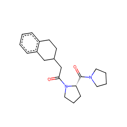 O=C([C@@H]1CCCN1C(=O)CC1CCc2ccccc2C1)N1CCCC1